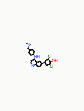 CN(C)Cc1ccc(Nc2[c]cnc3ccc(-c4cc(Cl)c(O)c(Cl)c4)cc23)cc1